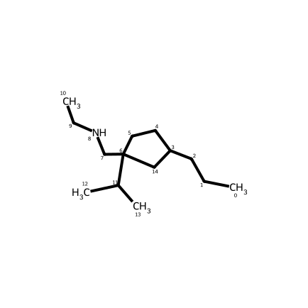 CCCC1CCC(CNCC)(C(C)C)C1